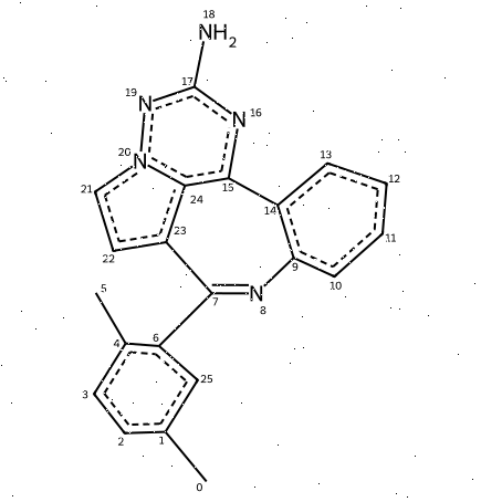 Cc1ccc(C)c(C2=Nc3ccccc3-c3nc(N)nn4ccc2c34)c1